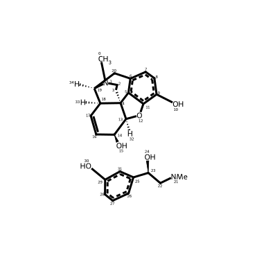 CN1CC[C@]23c4c5ccc(O)c4O[C@H]2[C@@H](O)C=C[C@H]3[C@H]1C5.CNC[C@H](O)c1cccc(O)c1